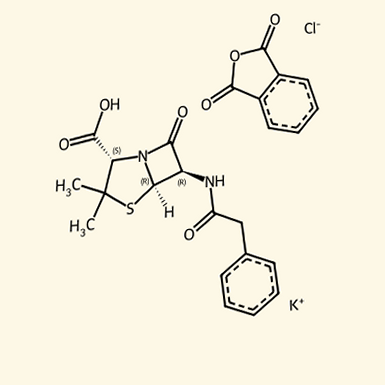 CC1(C)S[C@@H]2[C@H](NC(=O)Cc3ccccc3)C(=O)N2[C@H]1C(=O)O.O=C1OC(=O)c2ccccc21.[Cl-].[K+]